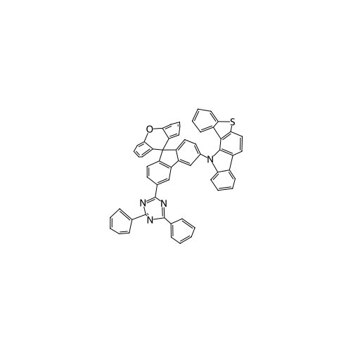 c1ccc(-c2nc(-c3ccccc3)nc(-c3ccc4c(c3)-c3cc(-n5c6ccccc6c6ccc7sc8ccccc8c7c65)ccc3C43c4ccccc4Oc4ccccc43)n2)cc1